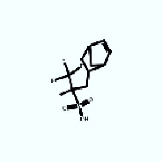 CC(CC1CC2C=CC1C2)(C(F)(F)F)S(=O)(=O)O